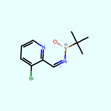 CC(C)(C)[S@@+]([O-])/N=C\c1ncccc1Br